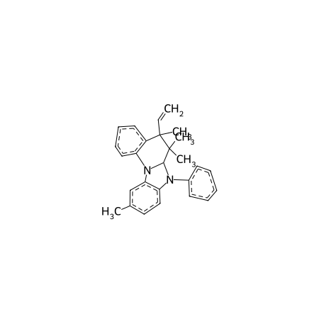 C=CC1(C)c2ccccc2N2c3cc(C)ccc3N(c3ccccc3)C2C1(C)C